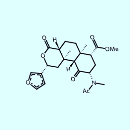 COC(=O)[C@@H]1C[C@H](N(C)C(C)=O)C(=O)[C@H]2[C@@]1(C)CC[C@H]1C(=O)O[C@@H](c3ccoc3)C[C@]21C